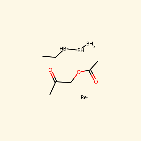 BBBCC.CC(=O)COC(C)=O.[Re]